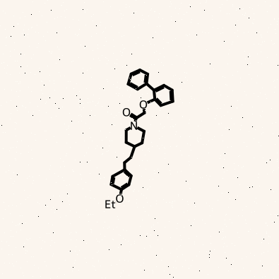 CCOc1ccc(CCC2CCN(C(=O)COc3ccccc3-c3ccccc3)CC2)cc1